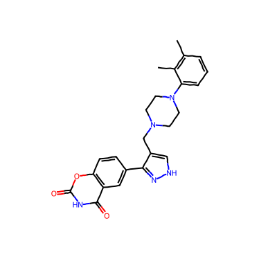 Cc1cccc(N2CCN(Cc3c[nH]nc3-c3ccc4oc(=O)[nH]c(=O)c4c3)CC2)c1C